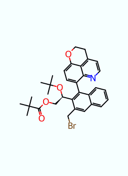 CC(C)(C)O[C@H](COC(=O)C(C)(C)C)c1c(CBr)cc2ccccc2c1-c1ccc2c3c(ccnc13)CCO2